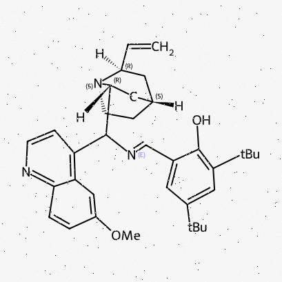 C=C[C@H]1C[C@@H]2CC[N@@]1[C@@H](C(/N=C/c1cc(C(C)(C)C)cc(C(C)(C)C)c1O)c1ccnc3ccc(OC)cc13)C2